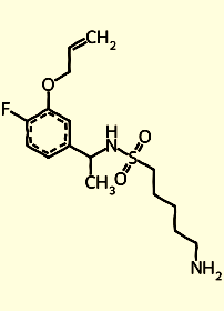 C=CCOc1cc(C(C)NS(=O)(=O)CCCCCN)ccc1F